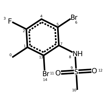 Cc1c(F)cc(Br)c(NS(C)(=O)=O)c1Br